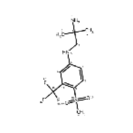 CC(C)(N)CNc1ccc(S(C)(=O)=O)c(C(F)(F)F)c1